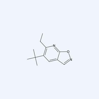 CCc1nc2oncc2cc1C(C)(C)C